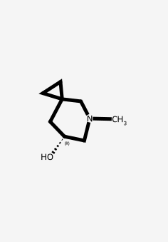 CN1C[C@H](O)CC2(CC2)C1